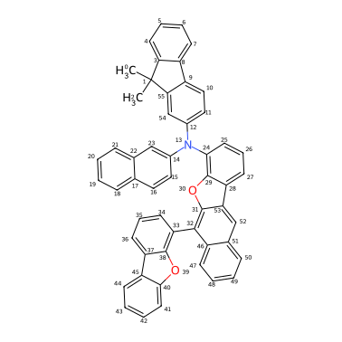 CC1(C)c2ccccc2-c2ccc(N(c3ccc4ccccc4c3)c3cccc4c3oc3c(-c5cccc6c5oc5ccccc56)c5ccccc5cc34)cc21